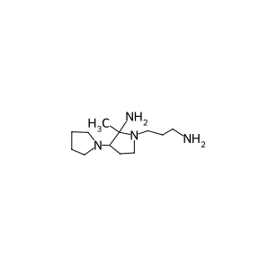 CC1(N)C(N2CCCC2)CCN1CCCN